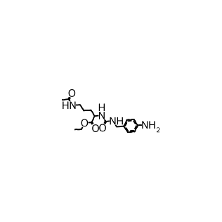 CCOC(=O)C(CCCNC(C)=O)NC(=O)NCc1ccc(N)cc1